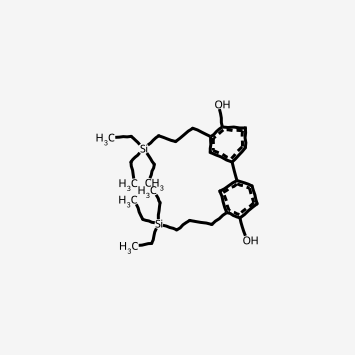 CC[Si](CC)(CC)CCCc1cc(-c2ccc(O)c(CCC[Si](CC)(CC)CC)c2)ccc1O